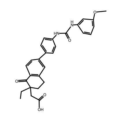 CCC1(CC(=O)O)CCc2cc(-c3ccc(NC(=O)Nc4cccc(OC)c4)cc3)ccc2C1=O